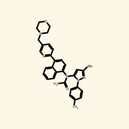 Cc1ccc(-n2nc(C(C)(C)C)cc2N(C(N)=O)c2ccc(-c3ccc(CN4CCOCC4)cn3)c3ccccc23)cc1